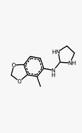 Cc1c(NC2NCCN2)ccc2c1OCO2